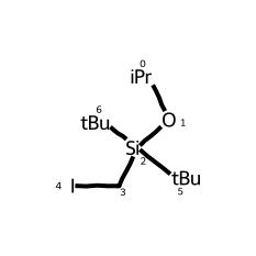 CC(C)O[Si](CI)(C(C)(C)C)C(C)(C)C